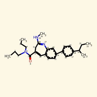 CCCN(CCC)C(=O)C1=Cc2ccc(-c3ccc(C(C)CC)cc3)cc2N=C(NC)C1